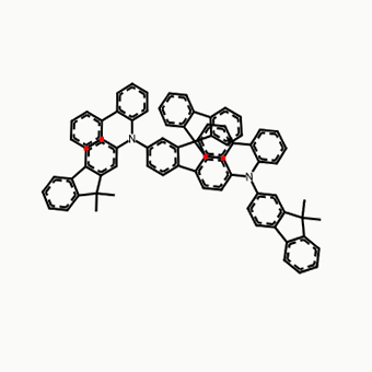 CC1(C)c2ccccc2-c2ccc(N(c3ccc4c(c3)C3(c5ccccc5-c5ccccc53)c3cc(N(c5ccc6c(c5)C(C)(C)c5ccccc5-6)c5ccccc5-c5ccccc5)ccc3-4)c3ccccc3-c3ccccc3)cc21